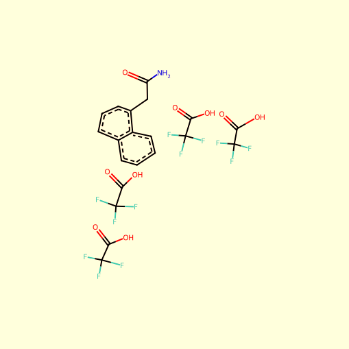 NC(=O)Cc1cccc2ccccc12.O=C(O)C(F)(F)F.O=C(O)C(F)(F)F.O=C(O)C(F)(F)F.O=C(O)C(F)(F)F